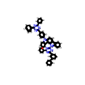 c1ccc(-c2cccc(-c3nc(-c4ccccc4)nc(-n4c5ccccc5c5ccc6c(c7ccccc7n6-c6ccc(-c7nc(-c8ccccc8)nc(-c8ccccc8)n7)cc6)c54)n3)c2)cc1